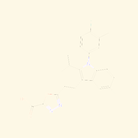 Cc1cc(-n2c(C(C)C)c(CCc3nnc(C(=O)O)o3)c3cc(F)ccc32)ccc1F